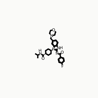 CC(C)NC(=O)[C@H]1CC[C@@H](n2/c(=N/C(=O)c3ccc(F)cc3)[nH]c3ccc(CN4CCOCC4)cc32)CC1